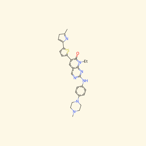 CCn1c(=O)c(-c2ccc(C3=CCC(C)=N3)s2)cc2cnc(Nc3ccc(N4CCN(C)CC4)cc3)nc21